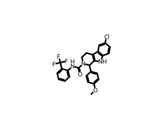 COc1ccc(C2c3[nH]c4ccc(Cl)cc4c3CCN2C(=O)Nc2ccccc2C(F)(F)F)cc1